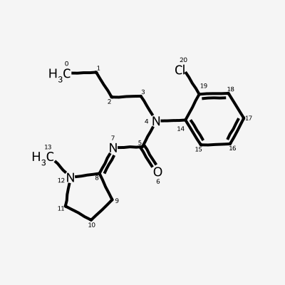 CCCCN(C(=O)N=C1CCCN1C)c1ccccc1Cl